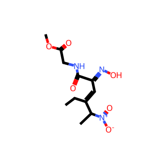 CC/C(=C\C(=N/O)C(=O)NCC(=O)OC)C(C)[N+](=O)[O-]